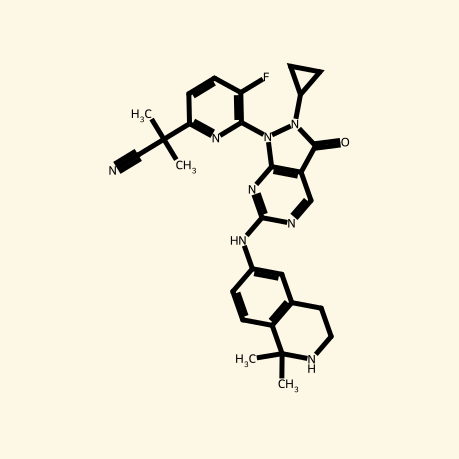 CC(C)(C#N)c1ccc(F)c(-n2c3nc(Nc4ccc5c(c4)CCNC5(C)C)ncc3c(=O)n2C2CC2)n1